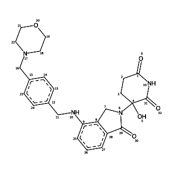 O=C1CCC(O)(N2Cc3c(NCc4ccc(CN5CCOCC5)cc4)cccc3C2=O)C(=O)N1